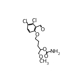 COCC(CCCOc1ccc(Cl)c(Cl)c1C=O)OC(N)=O